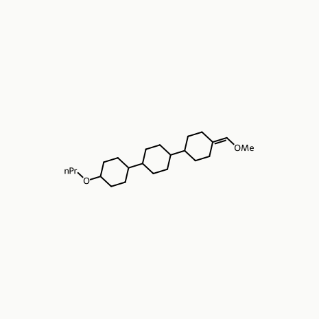 CCCOC1CCC(C2CCC(C3CCC(=COC)CC3)CC2)CC1